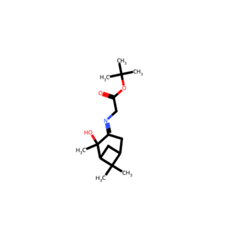 CC(C)(C)OC(=O)C/N=C1\CC2CC(C1(C)O)C2(C)C